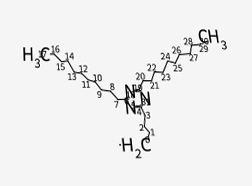 [CH2]CCCc1nc(CCCCCCCCCCC)nc(CCCCCCCCCCC)n1